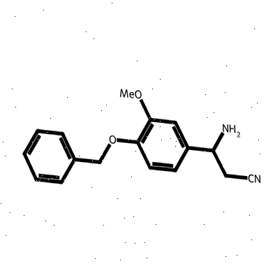 COc1cc(C(N)CC#N)ccc1OCc1ccccc1